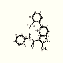 Cc1nn2ccc(-c3ccccc3C(F)(F)F)nc2c1C(=O)Nc1ccccn1